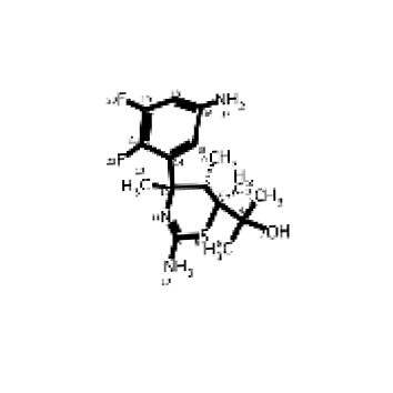 C[C@@H]1[C@@](C)(C(C)(C)O)SC(N)=N[C@]1(C)c1cc(N)cc(F)c1F